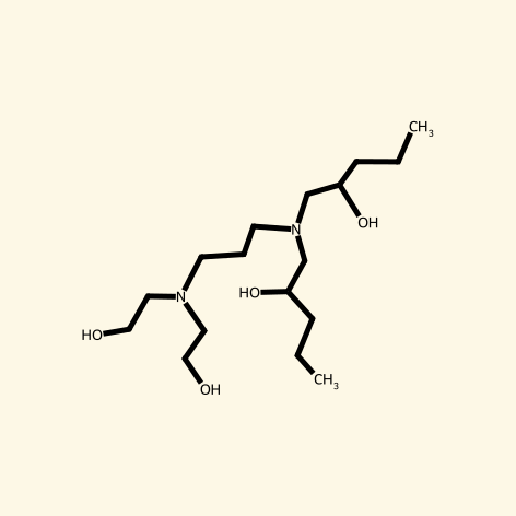 CCCC(O)CN(CCCN(CCO)CCO)CC(O)CCC